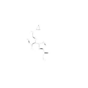 COC(=O)c1cnn(-c2nc(NC3CC3)ncc2C)c1